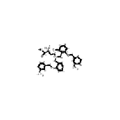 Cc1cccc(COc2ccccc2CN(CC[C@H](N)C(=O)O)Cc2c(Cl)cccc2OCc2cccc(C)c2)c1